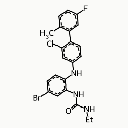 CCNC(=O)Nc1cc(Br)ccc1Nc1ccc(-c2cc(F)ccc2C)c(Cl)c1